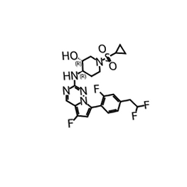 O=S(=O)(C1CC1)N1CC[C@@H](Nc2ncc3c(F)cc(-c4ccc(CC(F)F)cc4F)n3n2)[C@H](O)C1